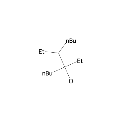 CCCCC(CC)C([O])(CC)CCCC